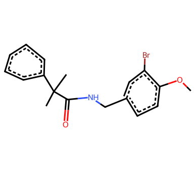 COc1ccc(CNC(=O)C(C)(C)c2ccccc2)cc1Br